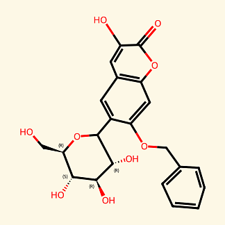 O=c1oc2cc(OCc3ccccc3)c(C3O[C@H](CO)[C@@H](O)[C@H](O)[C@H]3O)cc2cc1O